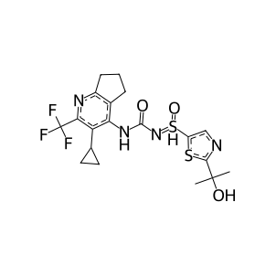 CC(C)(O)c1ncc(/[SH](=O)=N/C(=O)Nc2c3c(nc(C(F)(F)F)c2C2CC2)CCC3)s1